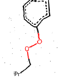 CC(C)COOc1ccccc1